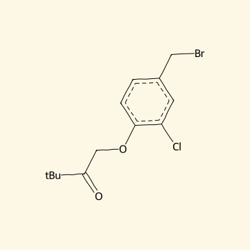 CC(C)(C)C(=O)COc1ccc(CBr)cc1Cl